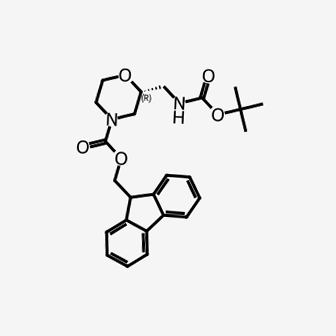 CC(C)(C)OC(=O)NC[C@@H]1CN(C(=O)OCC2c3ccccc3-c3ccccc32)CCO1